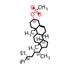 CC[C@H](CC[C@@H](C)C1CC[C@H]2[C@@H]3CC=C4C[C@@H](OS(C)(=O)=O)CCC4(C)C3CCC12C)C(C)C